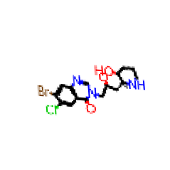 O=C(C[C@@H]1NCCCC1O)Cn1cnc2cc(Br)c(Cl)cc2c1=O